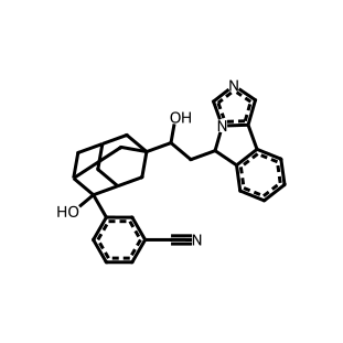 N#Cc1cccc(C2(O)C3CC4CC2CC(C(O)CC2c5ccccc5-c5cncn52)(C4)C3)c1